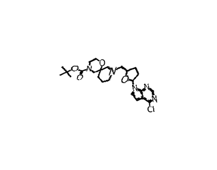 CC(C)(C)OC(=O)N1CCOC2(CCCN(CC3CCC(n4ccc5c(Cl)ncnc54)O3)C2)C1